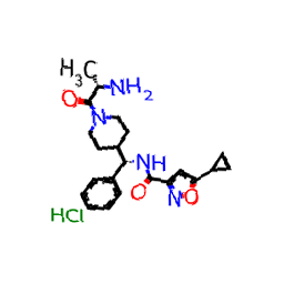 C[C@H](N)C(=O)N1CCC([C@H](NC(=O)c2cc(C3CC3)on2)c2ccccc2)CC1.Cl